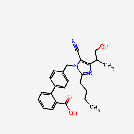 CCCCc1nc(C(C)CO)c(C#N)n1Cc1ccc(-c2ccccc2C(=O)O)cc1